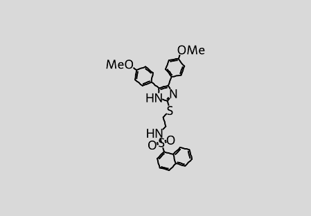 COc1ccc(-c2nc(SCCNS(=O)(=O)c3cccc4ccccc34)[nH]c2-c2ccc(OC)cc2)cc1